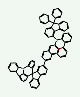 c1ccc(-c2ccccc2N(c2ccc3cc(-c4ccc5c(c4)C4(c6ccccc6-5)c5ccccc5-n5c6ccccc6c6cccc4c65)ccc3c2)c2cccc3c2-c2ccccc2C3(c2ccccc2)c2ccccc2)cc1